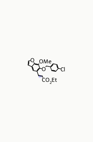 CCOC(=O)/C=C/c1cc2ccoc2c(OC)c1OCc1ccc(Cl)cc1